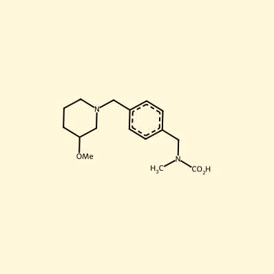 COC1CCCN(Cc2ccc(CN(C)C(=O)O)cc2)C1